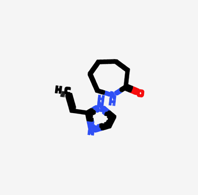 C=Cc1ncc[nH]1.O=C1CCCCCN1